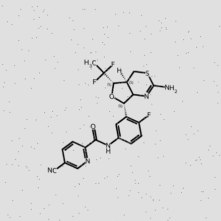 CC(F)(F)[C@H]1O[C@@H](c2cc(NC(=O)c3ccc(C#N)cn3)ccc2F)C2N=C(N)SC[C@@H]21